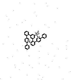 CSS(C)(C)c1cc(-c2ccccc2-c2ccc(-c3ccccc3)nc2)cc(-c2ccccc2-c2ccc(-c3ccccc3)nc2)c1